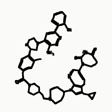 Cc1cc(C(=O)N2CCC(CN3CCC(n4cc(C5CC5)c5cc(N6CCC(=O)NC6=O)cnc54)CC3)CC2)ccc1[C@@H]1CN(c2cc(-c3ccccc3O)nnc2N)CCO1